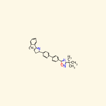 Cc1ccccc1C1=NC(c2ccc(-c3ccc(-c4nc(C(C)(C)C)no4)cc3)cc2)CC1